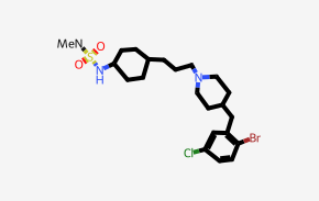 CNS(=O)(=O)NC1CCC(CCCN2CCC(Cc3cc(Cl)ccc3Br)CC2)CC1